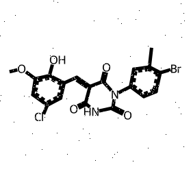 COc1cc(Cl)cc(C=C2C(=O)NC(=O)N(c3ccc(Br)c(C)c3)C2=O)c1O